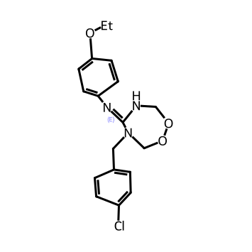 CCOc1ccc(/N=C2\NCOOCN2Cc2ccc(Cl)cc2)cc1